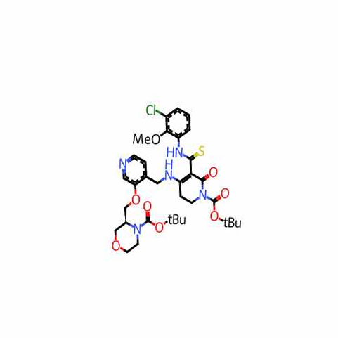 COc1c(Cl)cccc1NC(=S)C1=C(NCc2ccncc2OC[C@@H]2COCCN2C(=O)OC(C)(C)C)CCN(C(=O)OC(C)(C)C)C1=O